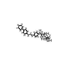 C[C@](N)(COP(=O)(O)O)C(=O)Nc1ccc(SCCc2ccc(-c3ccccc3)cc2)cc1